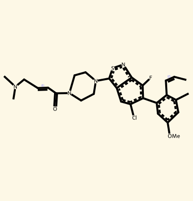 C/C=C\c1c(C)cc(OC)cc1-c1c(Cl)cc2c(N3CCN(C(=O)/C=C/CN(C)C)CC3)snc2c1F